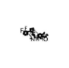 COc1cc2c(cc1Nc1cc(N3OCCC3c3cccc(F)c3F)ncn1)C(=O)N(C)C2